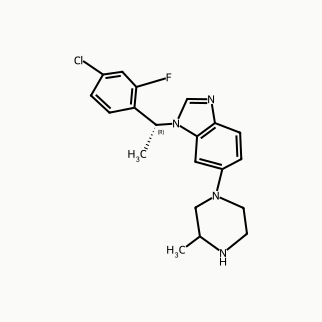 CC1CN(c2ccc3ncn([C@H](C)c4ccc(Cl)cc4F)c3c2)CCN1